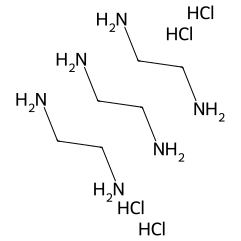 Cl.Cl.Cl.Cl.NCCN.NCCN.NCCN